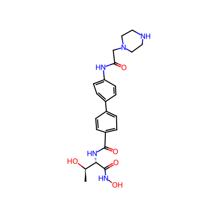 C[C@@H](O)[C@H](NC(=O)c1ccc(-c2ccc(NC(=O)CN3CCNCC3)cc2)cc1)C(=O)NO